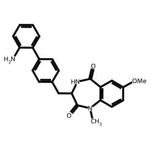 COc1ccc2c(c1)C(=O)NC(Cc1ccc(-c3ccccc3N)cc1)C(=O)N2C